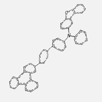 c1ccc(N(c2ccc(-c3ccc(-c4ccc5c6ccccc6c6ccccc6c5c4)cc3)cc2)c2ccc3oc4ccccc4c3c2)cc1